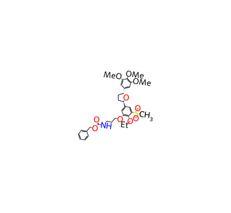 CCOc1c(OCCCNC(=O)OCc2ccccc2)cc([C@H]2CC[C@H](c3cc(OC)c(OC)c(OC)c3)O2)cc1S(C)(=O)=O